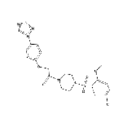 COC1=CC=C(Cl)CC1S(=O)(=O)N1CCN(C(=O)COc2ccc(-n3cnnn3)cc2)CC1